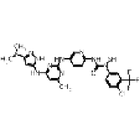 Cc1cc(Nc2cc(N(C)C)n[nH]2)nc(Nc2ccc(NC(=O)N(S)c3ccc(Cl)c(C(F)(F)F)c3)nc2)n1